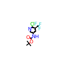 CC(C)(C)OC(=O)Nc1cnc(Cl)c(C(F)(F)F)c1